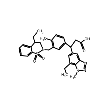 CCc1cc(C(CC(=O)O)c2ccc(C)c(CN3CC(CC)c4ccccc4S3(=O)=O)c2)cc2nnn(C)c12